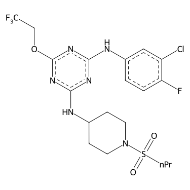 CCCS(=O)(=O)N1CCC(Nc2nc(Nc3ccc(F)c(Cl)c3)nc(OCC(F)(F)F)n2)CC1